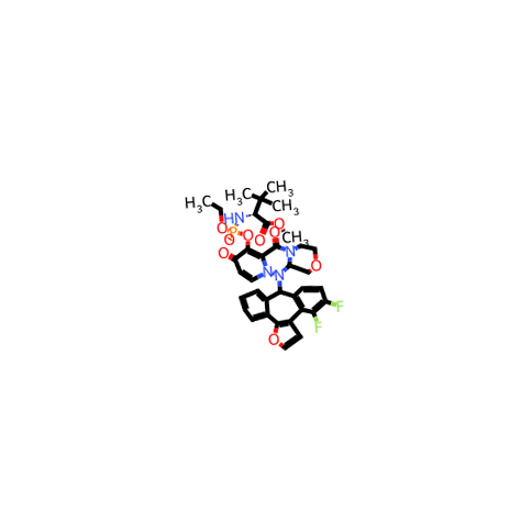 CCOP(=O)(N[C@@H](C(=O)OC)C(C)(C)C)Oc1c2n(ccc1=O)N(C1c3ccccc3-c3occc3-c3c1ccc(F)c3F)C1COCCN1C2=O